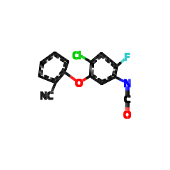 N#Cc1ccccc1Oc1cc(N=C=O)c(F)cc1Cl